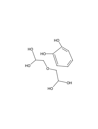 OC(O)COCC(O)O.Oc1ccccc1O